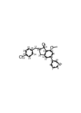 COc1cc(-c2cccnc2)cc2c1C(=O)N(Cc1ccc(Cl)cc1)C2